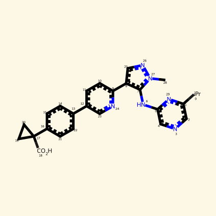 CC(C)c1cncc(Nc2c(-c3ccc(-c4ccc(C5(C(=O)O)CC5)cc4)cn3)cnn2C)n1